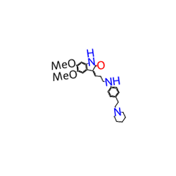 COc1cc2c(cc1OC)C(=CCCNc1ccc(CCN3CCCCC3)cc1)C(=O)N2